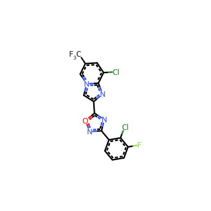 Fc1cccc(-c2noc(-c3cn4cc(C(F)(F)F)cc(Cl)c4n3)n2)c1Cl